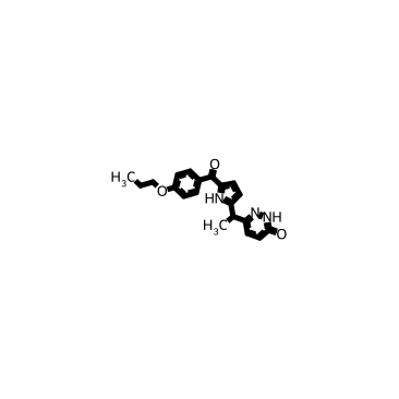 CCCOc1ccc(C(=O)c2ccc(C(C)c3ccc(=O)[nH]n3)[nH]2)cc1